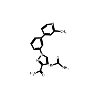 Cc1cc(-c2cccc(-n3cc(NC(N)=O)c(C(N)=O)n3)c2)ccn1